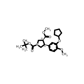 COC(=O)[C@@H]1CN(C(=O)OC(C)(C)C)C[C@@H]1c1ccc(OC)c(OC2CCCC2)c1